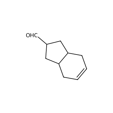 O=CC1CC2CC=CCC2C1